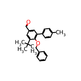 Cc1ccc(-c2cc(C=O)cc(C(C)(C)C)c2OCc2ccccc2)cc1